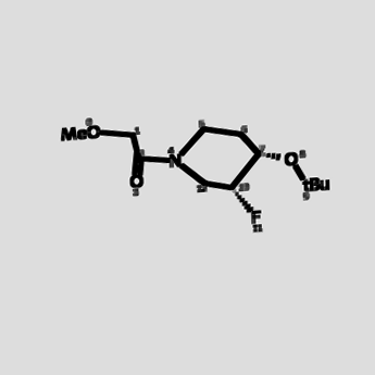 COCC(=O)N1CC[C@H](OC(C)(C)C)[C@H](F)C1